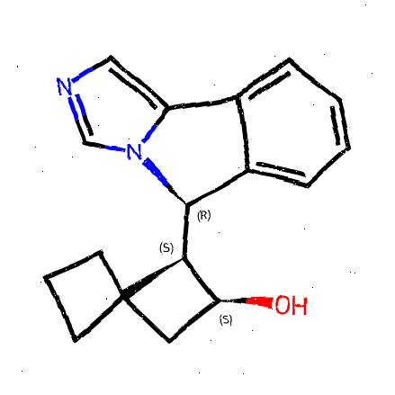 O[C@H]1CC2(CCC2)[C@H]1[C@@H]1c2ccccc2-c2cncn21